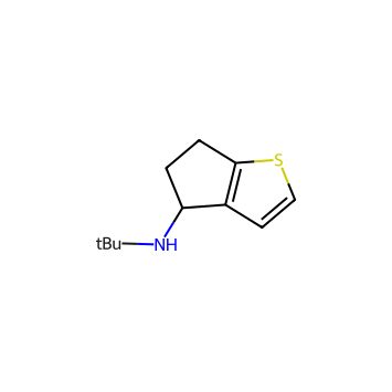 CC(C)(C)NC1CCc2sccc21